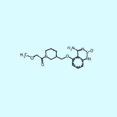 COCC(=O)N1CCCC(COc2cccc3c2C(N)=N[S+]([O-])N3)C1